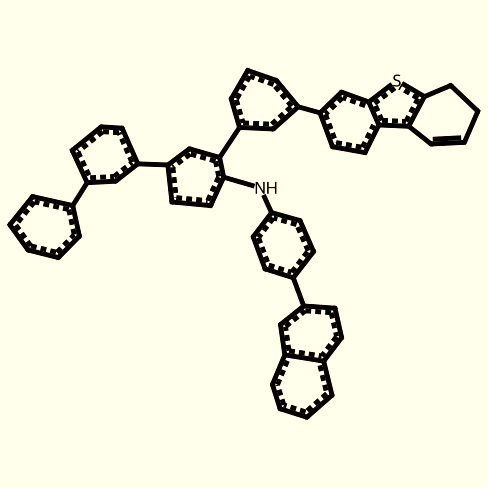 C1=Cc2c(sc3cc(-c4cccc(-c5cc(-c6cccc(-c7ccccc7)c6)ccc5Nc5ccc(-c6ccc7ccccc7c6)cc5)c4)ccc23)CC1